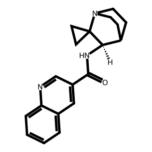 O=C(N[C@@H]1C2CCN(CC2)C12CC2)c1cnc2ccccc2c1